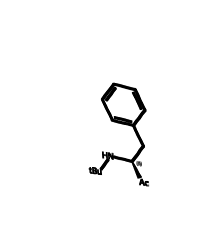 CC(=O)[C@H](Cc1ccccc1)NC(C)(C)C